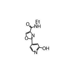 CCNC(=O)c1coc(-c2ccnc(O)c2)n1